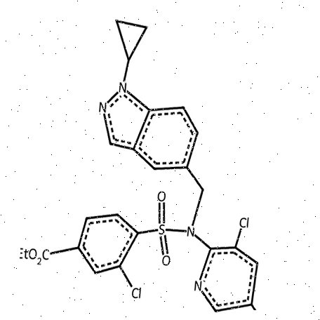 CCOC(=O)c1ccc(S(=O)(=O)N(Cc2ccc3c(cnn3C3CC3)c2)c2ncc(Cl)cc2Cl)c(Cl)c1